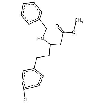 COC(=O)CC(CCc1ccc(Cl)cc1)NCc1ccccc1